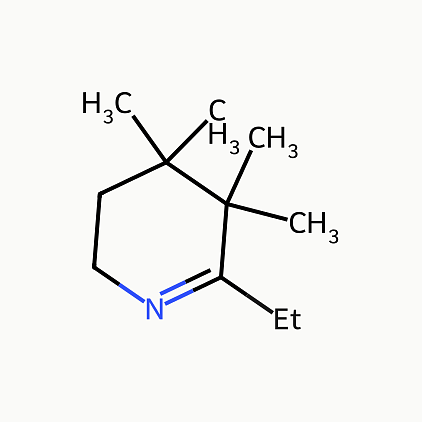 CCC1=NCCC(C)(C)C1(C)C